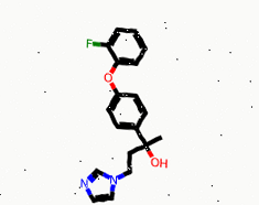 CC(O)(CCn1ccnc1)c1ccc(Oc2ccccc2F)cc1